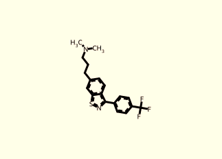 CN(C)CCCc1ccc2c(-c3ccc(C(F)(F)F)cc3)nsc2c1